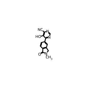 CN1Cc2cc(-c3ncnc(C#N)c3O)ccc2C1=O